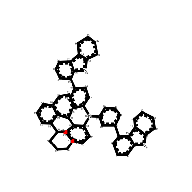 c1cc(-c2cccc3sc4ccccc4c23)cc(N(c2ccc(-c3cccc4c3sc3ccccc34)cc2)c2ccccc2-c2cccc3cccc(C4CCCCC4)c23)c1